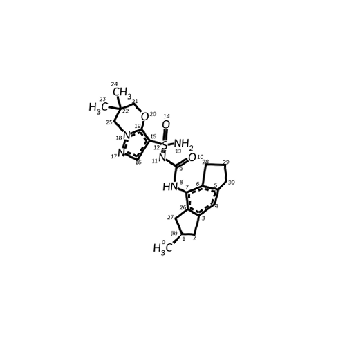 C[C@@H]1Cc2cc3c(c(NC(=O)N=S(N)(=O)c4cnn5c4OCC(C)(C)C5)c2C1)CCC3